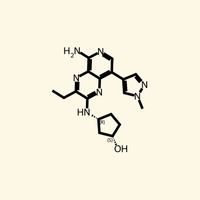 CCc1nc2c(N)ncc(-c3cnn(C)c3)c2nc1N[C@@H]1CC[C@H](O)C1